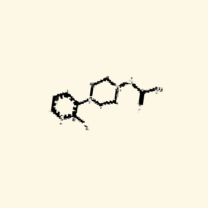 CC(C)(C)C(=O)ON1CCN(c2cccnc2Cl)CC1